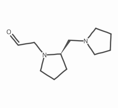 O=CCN1CCC[C@@H]1CN1CCCC1